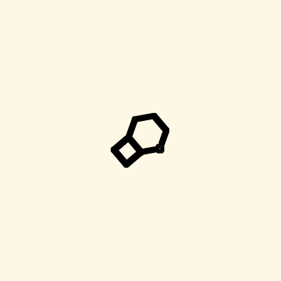 C1CO[C]2CCC2C1